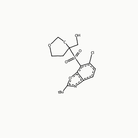 CC(C)(C)c1nc2ccc(Cl)c(S(=O)(=O)C3(CO)CCOCC3)c2o1